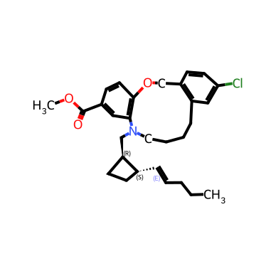 CCC/C=C/[C@@H]1CC[C@H]1CN1CCCCc2cc(Cl)ccc2COc2ccc(C(=O)OC)cc21